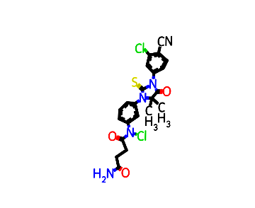 CC1(C)C(=O)N(c2ccc(C#N)c(Cl)c2)C(=S)N1c1cccc(N(Cl)C(=O)CCC(N)=O)c1